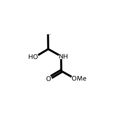 [CH2]C(O)NC(=O)OC